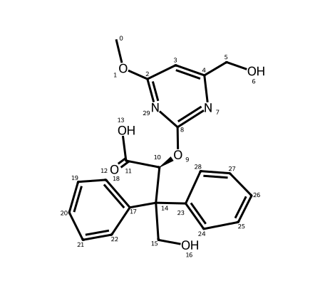 COc1cc(CO)nc(O[C@H](C(=O)O)C(CO)(c2ccccc2)c2ccccc2)n1